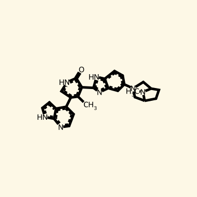 Cc1c(-c2ccnc3[nH]ccc23)c[nH]c(=O)c1-c1nc2cc(N3CC4CCC(C3)N4C)ccc2[nH]1